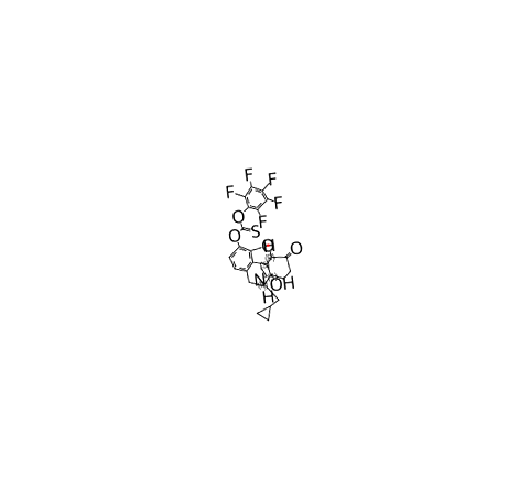 O=C1CC[C@@]2(O)[C@H]3Cc4ccc(OC(=S)Oc5c(F)c(F)c(F)c(F)c5F)c5c4[C@@]2(CCN3CC2CC2)[C@H]1O5